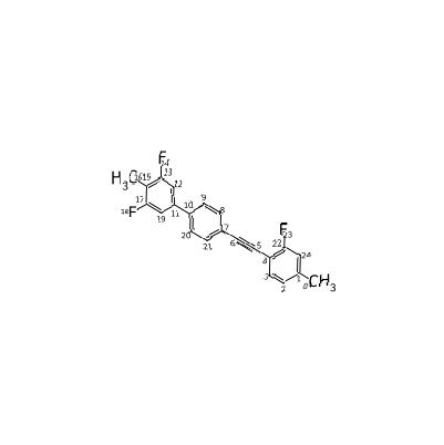 Cc1ccc(C#Cc2ccc(-c3cc(F)c(C)c(F)c3)cc2)c(F)c1